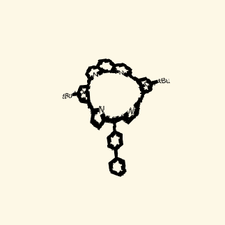 CC(C)(C)c1cc2c3nc(c(-c4ccc(-c5ccccc5)cc4)c4ccc([nH]4)c4cc(C(C)(C)C)cc(c4O)c4ccc5ccc6ccc(nc6c5n4)c(c1)c2O)C=C3